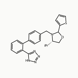 CC(C)[C@H]1COC(c2cccs2)N1Cc1ccc(-c2ccccc2-c2nnn[nH]2)cc1